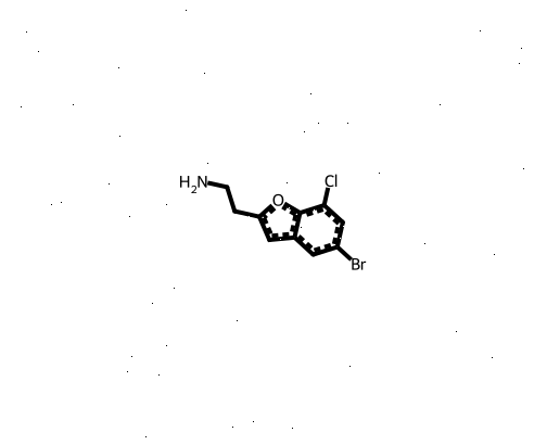 NCCc1cc2cc(Br)cc(Cl)c2o1